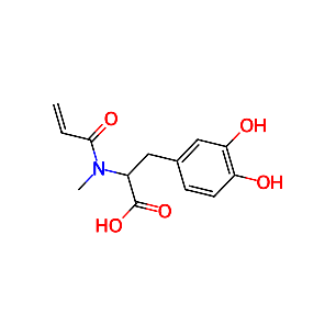 C=CC(=O)N(C)C(Cc1ccc(O)c(O)c1)C(=O)O